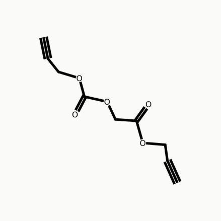 C#CCOC(=O)COC(=O)OCC#C